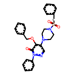 O=c1c(OCc2ccccc2)c(N2CCN(S(=O)(=O)Cc3ccccc3)CC2)cnn1-c1ccccc1